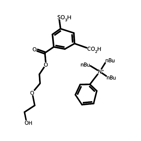 CCCC[N+](CCCC)(CCCC)c1ccccc1.O=C(O)c1cc(C(=O)OCCOCCO)cc(S(=O)(=O)O)c1